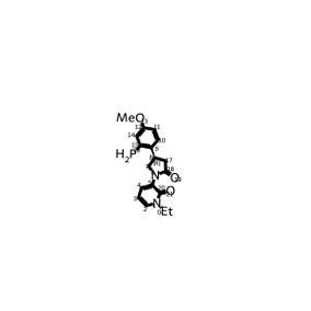 CCn1cccc(N2C[C@@H](c3ccc(OC)cc3P)CC2=O)c1=O